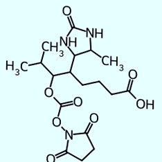 CC(C)C(OC(=O)ON1C(=O)CCC1=O)C(CCCC(=O)O)C1NC(=O)NC1C